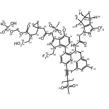 CC(C)(C#Cc1ccc(-c2ccc(Cl)c3c(N(C(=O)CC4(CN(CC(=O)O)C(=O)OCOP(=O)(O)O)CC4)S(C)(=O)=O)nn(CC(F)(F)F)c23)c([C@H](Cc2cc(F)cc(F)c2)NC(=O)Cn2nc(C(F)(F)F)c3c2C(F)(F)[C@@H]2C[C@H]32)n1)S(C)(=O)=O